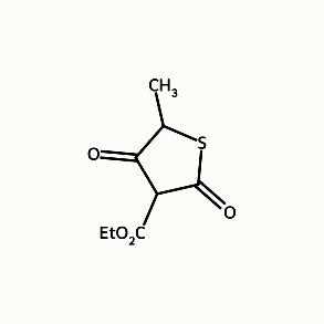 CCOC(=O)C1C(=O)SC(C)C1=O